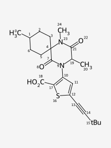 CC1CCC2(CC1)C(=O)N(c1cc(C#CC(C)(C)C)sc1C(=O)O)C(C)C(=O)N2C